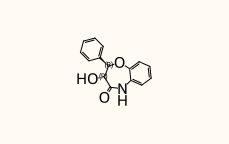 O=C1Nc2ccccc2O[C@H](c2ccccc2)[C@H]1O